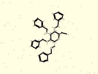 IC[C@H]1O[C@H](COCc2ccccc2)[C@@H](OCc2ccccc2)[C@H](OCc2ccccc2)[C@@H]1OCc1ccccc1